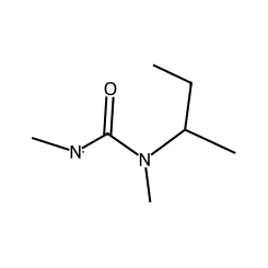 CCC(C)N(C)C(=O)[N]C